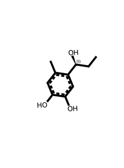 CC[C@H](O)c1cc(O)c(O)cc1C